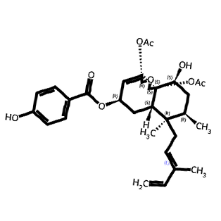 C=C/C(C)=C/C[C@]1(C)[C@H](C)C[C@H](O)[C@@]23C(=C[C@H](OC(=O)c4ccc(O)cc4)C[C@@H]12)[C@@H](OC(C)=O)O[C@H]3OC(C)=O